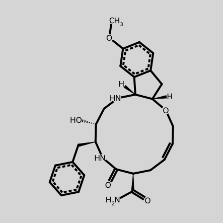 COc1ccc2c(c1)[C@H]1NC[C@@H](O)[C@H](Cc3ccccc3)NC(=O)[C@H](C(N)=O)C/C=C\CO[C@H]1C2